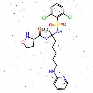 O=C(NC(CCCCCNc1ccccn1)(NS(=O)(=O)c1c(Cl)cccc1Cl)C(=O)O)C1CCON1